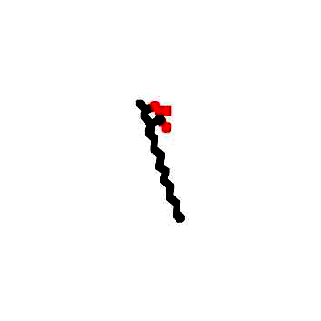 C=CCCCCCCCCCC=C(CC(C)=O)C(=O)O